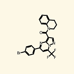 O=C(c1cnn2c(C(F)(F)F)cc(-c3ccc(Br)cc3)nc12)N1CCCc2ccccc21